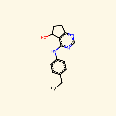 CCc1ccc(Nc2ncnc3c2C(O)CC3)cc1